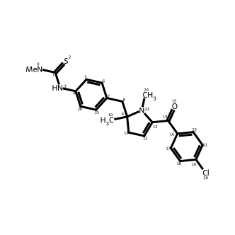 CNC(=S)Nc1ccc(CC2(C)CC=C(C(=O)c3ccc(Cl)cc3)N2C)cc1